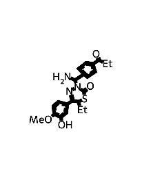 CCC(=O)c1ccc(C(N)N2N=C(c3ccc(OC)c(O)c3)C(CC)SC2=O)cc1